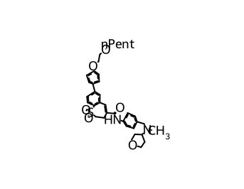 CCCCCOCCOc1ccc(-c2ccc3c(c2)C=C(C(=O)Nc2ccc(CN(C)C4CCOCC4)cc2)CCS3(=O)=O)cc1